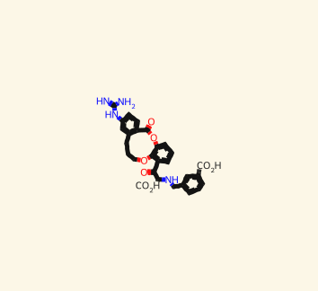 N=C(N)Nc1ccc2c(c1)CCCOc1c(cccc1C(=O)C(NCc1cccc(C(=O)O)c1)C(=O)O)OC2=O